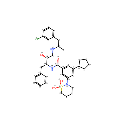 CC(Cc1cccc(Cl)c1)NC[C@H](O)[C@H](Cc1ccccc1)NC(=O)c1cc(C2CCCC2)cc(N2CCCCS2(O)O)c1